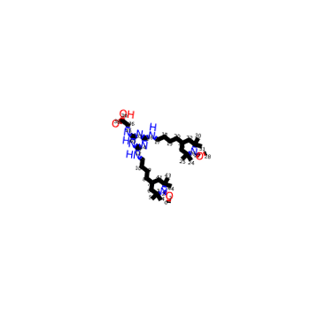 CON1C(C)(C)CC(CCCCNc2nc(NCCCCC3CC(C)(C)N(OC)C(C)(C)C3)nc(NCC(=O)O)n2)CC1(C)C